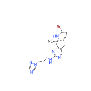 Cc1cnc(NCCCn2cncn2)nc1C(C#N)=C1C=CC=C(Br)N1